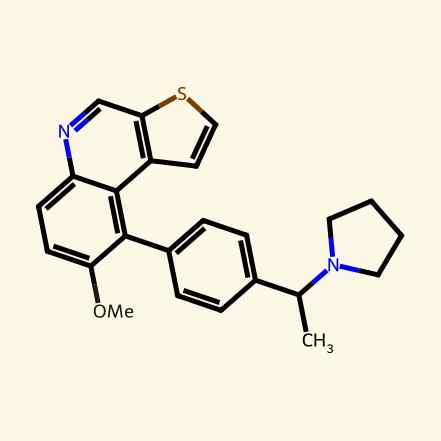 COc1ccc2ncc3sccc3c2c1-c1ccc(C(C)N2CCCC2)cc1